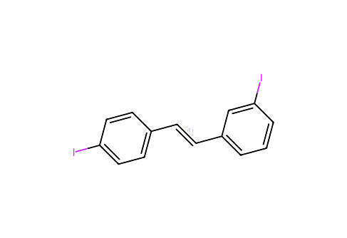 Ic1ccc(/C=C/c2cccc(I)c2)cc1